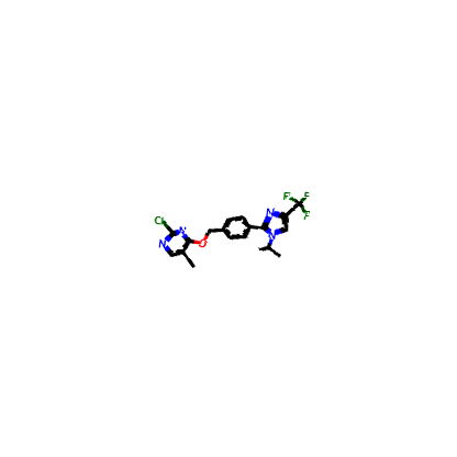 Cc1cnc(Cl)nc1OCc1ccc(-c2nc(C(F)(F)F)cn2C(C)C)cc1